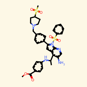 COC(=O)c1ccc(NC(C)c2c(N)cnc3c2cc(-c2ccc(CN4CCC(S(C)(=O)=O)CC4)cc2)n3S(=O)(=O)c2ccccc2)cc1